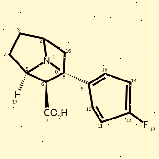 CN1C2CC[C@@H]1[C@H](C(=O)O)[C@@H](c1ccc(F)cc1)C2